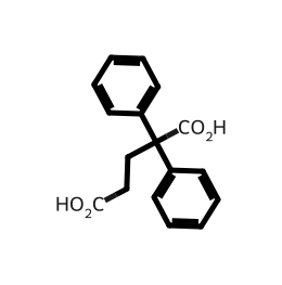 O=C(O)CCC(C(=O)O)(c1ccccc1)c1ccccc1